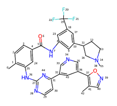 Cc1ccc(C(=O)Nc2cc(C3CCN(C)C3)cc(C(F)(F)F)c2)cc1Nc1nccc(-c2cncc(-c3oncc3C)c2)n1